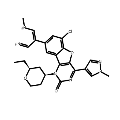 CC[C@H]1C[C@@H](n2c(=O)nc(-c3cnn(C)c3)c3oc4c(Cl)cc(/C(C=N)=C/NC)cc4c32)CCO1